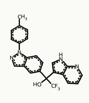 Cc1ccc(-n2ncc3cc(C(O)(c4c[nH]c5ncccc45)C(F)(F)F)ccc32)cc1